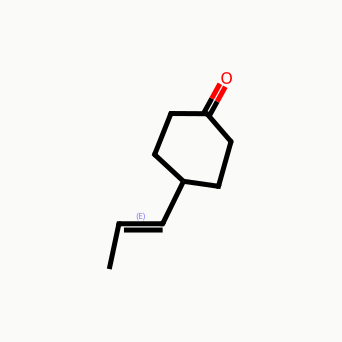 C/C=C/C1CCC(=O)CC1